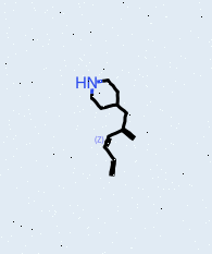 C=C/C=C\C(=C)CC1CCNCC1